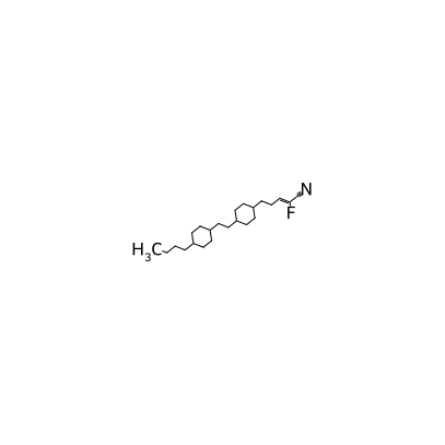 CCCCC1CCC(CCC2CCC(CCC=C(F)C#N)CC2)CC1